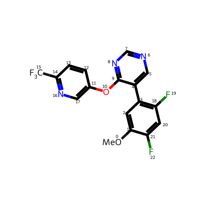 COc1cc(-c2cncnc2Oc2ccc(C(F)(F)F)nc2)c(F)cc1F